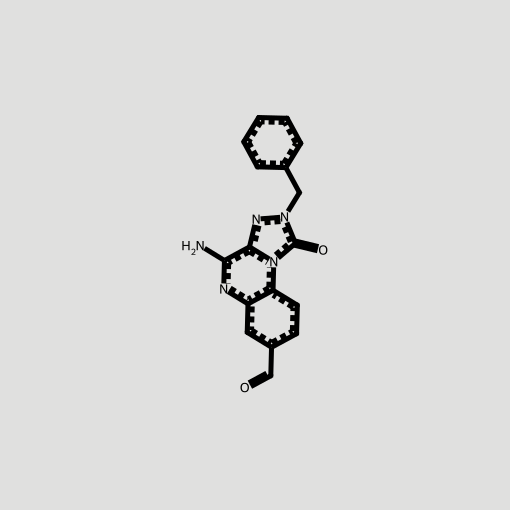 Nc1nc2cc(C=O)ccc2n2c(=O)n(Cc3ccccc3)nc12